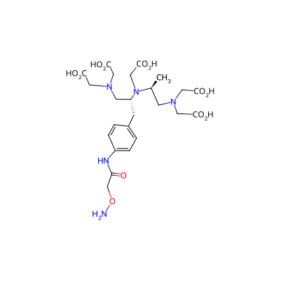 C[C@@H](CN(CC(=O)O)CC(=O)O)N(CC(=O)O)[C@H](Cc1ccc(NC(=O)CON)cc1)CN(CC(=O)O)CC(=O)O